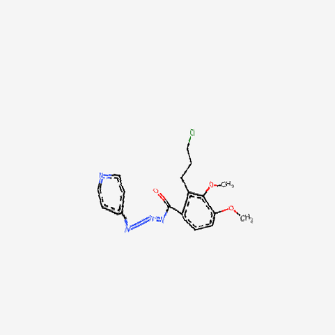 COc1ccc(C(=O)N=[N+]=Nc2ccncc2)c(CCCCl)c1OC